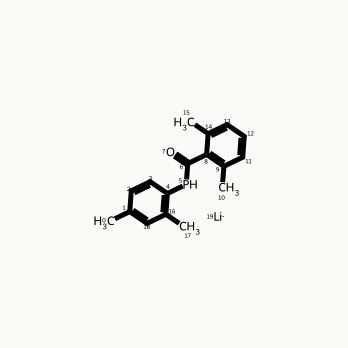 Cc1ccc(PC(=O)c2c(C)cccc2C)c(C)c1.[Li]